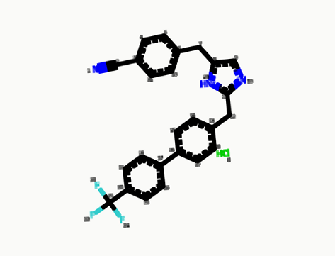 Cl.N#Cc1ccc(Cc2cnc(Cc3ccc(-c4ccc(C(F)(F)F)cc4)cc3)[nH]2)cc1